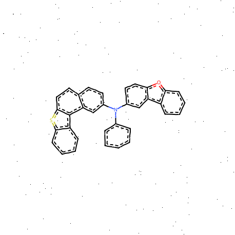 c1ccc(N(c2ccc3oc4ccccc4c3c2)c2ccc3ccc4sc5ccccc5c4c3c2)cc1